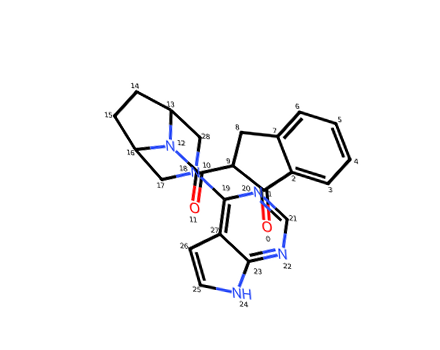 O=C1c2ccccc2CC1C(=O)N1C2CCC1CN(c1ncnc3[nH]ccc13)C2